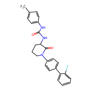 O=C(Nc1ccc(C(F)(F)F)cc1)NC1CCCN(c2ccc(-c3ccccc3F)cc2)C1=O